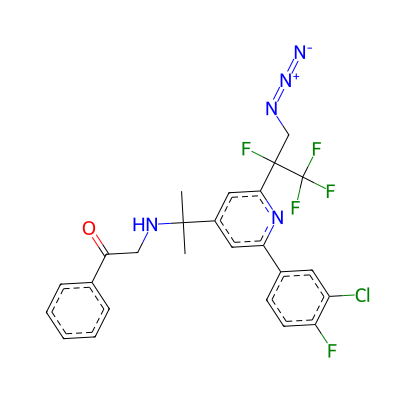 CC(C)(NCC(=O)c1ccccc1)c1cc(-c2ccc(F)c(Cl)c2)nc(C(F)(CN=[N+]=[N-])C(F)(F)F)c1